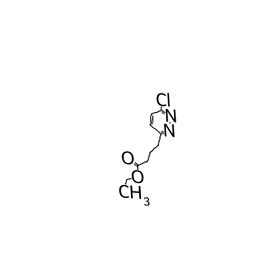 CCOC(=O)CCCc1ccc(Cl)nn1